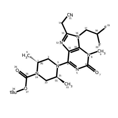 C[C@@H]1CN(c2nc(=O)n(C)c3c2nc(CC#N)n3CC(F)F)[C@@H](C)CN1C(=O)OC(C)(C)C